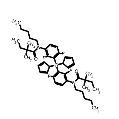 CCCCCN(C(=O)C(C)(C)CC)c1ccc(F)[c]([Ti]([c]2c(F)ccc(N(CCCCC)C(=O)C(C)(C)CC)c2F)([CH]2C=CC=C2)[CH]2C=CC=C2)c1F